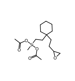 CC(=O)O[Si](C)(CCC1(CCC2CO2)CCCCC1)OC(C)=O